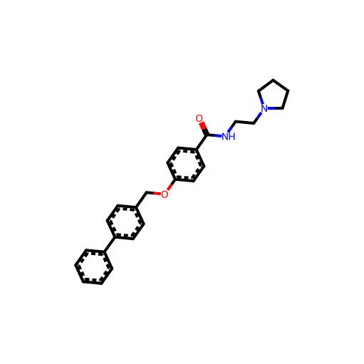 O=C(NCCN1CCCC1)c1ccc(OCc2ccc(-c3ccccc3)cc2)cc1